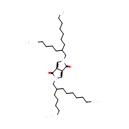 CCCCCCCCCCCCCCCCC(CCCCCCCCCCCCCC)CN1C=C2C(=O)N(CC(CCCCCCCCCCCCCC)CCCCCCCCCCCCCCCC)C=C2C1=O